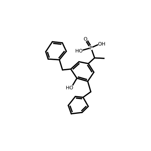 CC(c1cc(Cc2ccccc2)c(O)c(Cc2ccccc2)c1)P(=O)(O)O